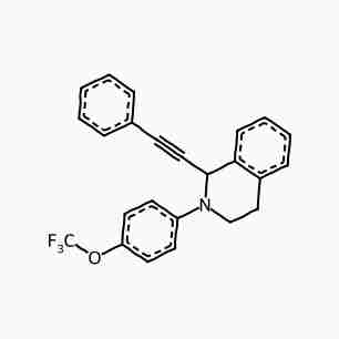 FC(F)(F)Oc1ccc(N2CCc3ccccc3C2C#Cc2ccccc2)cc1